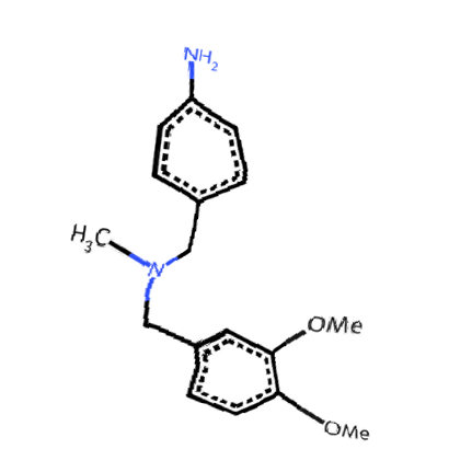 COc1ccc(CN(C)Cc2ccc(N)cc2)cc1OC